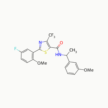 COc1cccc(C(C)NC(=O)c2sc(-c3cc(F)ccc3OC)nc2C(F)(F)F)c1